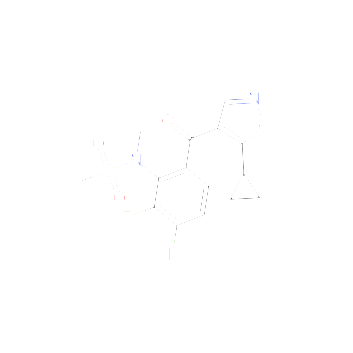 CN(c1c(C(=O)c2cnoc2C2CC2)ccc(F)c1F)S(C)(=O)=O